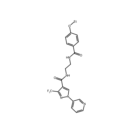 CCOc1ccc(C(=O)NCCNC(=O)c2cn(-c3cccnc3)nc2C(F)(F)F)cc1